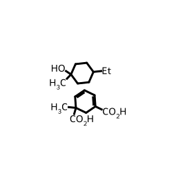 CC1(C(=O)O)C=CC=C(C(=O)O)C1.CCC1CCC(C)(O)CC1